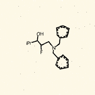 CC(C)C(O)C(F)CN(Cc1ccccc1)Cc1ccccc1